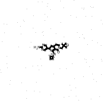 CC1(Cn2ccc3cc(-c4cnc(N)nc4)nc(NC4CCC4)c3c2=O)COC1